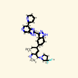 CCC(/C=C(\C=N/C)CN1CCC(F)(F)C1)c1ccc2[nH]nc(-c3nc4c(-c5ccccn5)cncc4[nH]3)c2c1